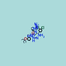 CCc1c(NC(NC#N)NCC(C(N)c2ccc(Cl)c(Cl)c2)N(CCN=[N+]=[N-])C(=O)[C@H]2CCCN2)cccc1OC(CC)(CC)CC